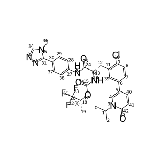 CC(C)n1cc(-c2ccc(Cl)c(C[C@H](NC(=O)O[C@H](C)C(F)(F)F)C(=O)Nc3ccc(-c4nncn4C)cc3)c2)ccc1=O